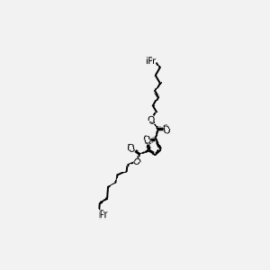 CC(C)CCCCCCCOC(=O)c1ccc(C(=O)OCCCCCCCC(C)C)o1